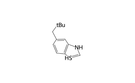 CC(C)(C)Cc1ccc2c(c1)NC=[SH]2